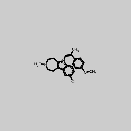 COc1ccc(/C(C)=C\n2c3c(c4cc(Cl)ccc42)CCN(C)CC3)cc1